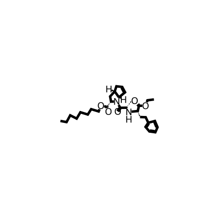 CCCCCCCCOC(=O)[C@@H]1C[C@@H]2CC=C[C@H]2N1C(=O)[C@H](C)N[C@@H](CCc1ccccc1)C(=O)OCC